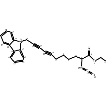 CCOC(=O)C(CCCCC#CC#CCn1c2ccccc2c2ccccc21)N=C=O